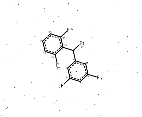 CC[C](c1cc(F)cc(F)c1)c1c(F)cccc1F